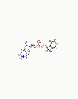 CC1CC2(CCN(C)CC2)C/C1=N\OC(=O)CCc1c[nH]c2ccccc12